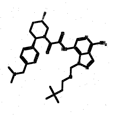 C[C@H]1CC[C@H](c2ccc(CN(C)C)cc2)N(C(=O)C(=O)Nc2cnc(N)c3cnn(COCC[Si](C)(C)C)c23)C1